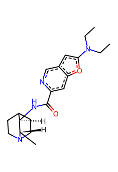 CCN(CC)c1cc2cnc(C(=O)N[C@@H]3C4CCN(CC4)[C@H]3C)cc2o1